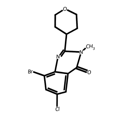 Cn1c(C2CCOCC2)nc2c(Br)cc(Cl)cc2c1=O